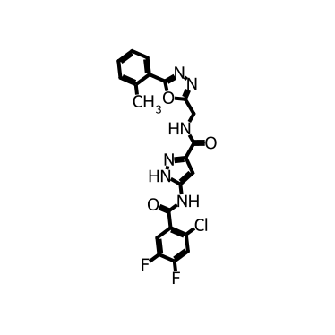 Cc1ccccc1-c1nnc(CNC(=O)c2cc(NC(=O)c3cc(F)c(F)cc3Cl)[nH]n2)o1